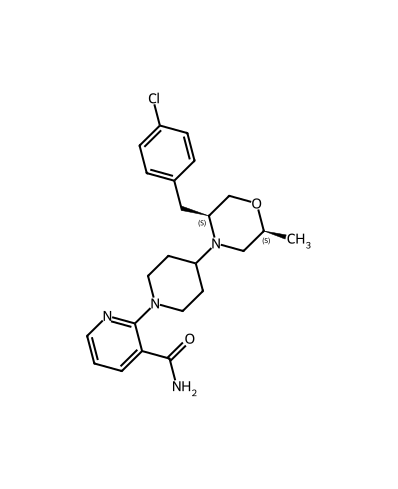 C[C@H]1CN(C2CCN(c3ncccc3C(N)=O)CC2)[C@@H](Cc2ccc(Cl)cc2)CO1